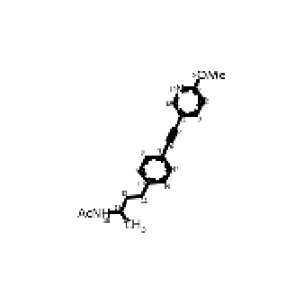 COc1ccc(C#Cc2ccc(CCC(C)NC(C)=O)cc2)cn1